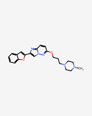 CN1CCN(CCCOc2ccc3nc(-c4cc5ccccc5o4)cn3n2)CC1